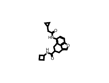 O=C(CC1CC1)Nc1ccc2occ3c2c1CC(C(=O)NC1CCC1)C3